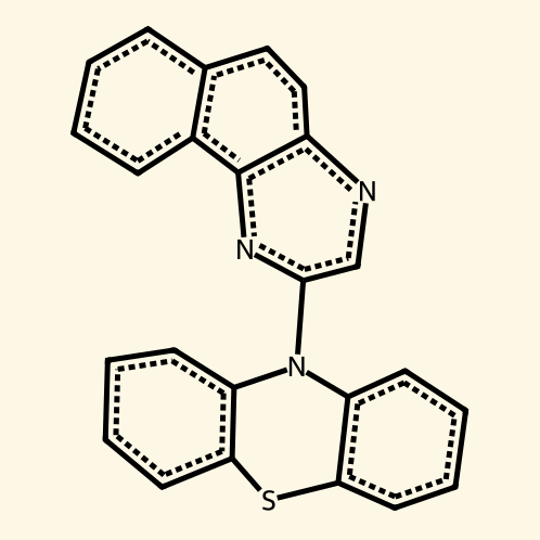 c1ccc2c(c1)Sc1ccccc1N2c1cnc2ccc3ccccc3c2n1